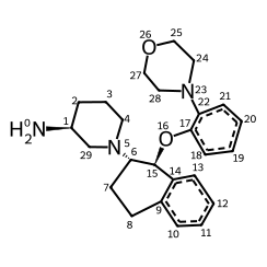 N[C@H]1CCCN([C@H]2CCc3ccccc3[C@@H]2Oc2ccccc2N2CCOCC2)C1